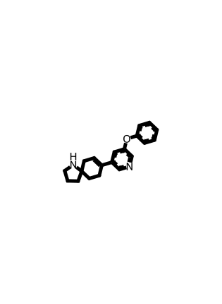 C1=C(c2cncc(Oc3ccccc3)c2)CCC2(C1)CCCN2